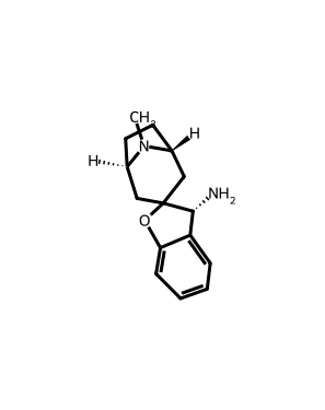 CN1[C@@H]2CC[C@@H]1CC1(C2)Oc2ccccc2[C@H]1N